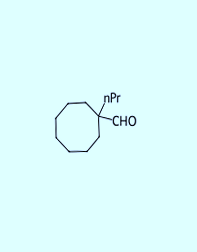 CCCC1(C=O)CCCCCCC1